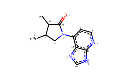 CCCC1CN(c2ccnc3[nH]cnc23)C(=O)C1C